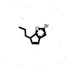 CCCC1C=Cc2cc(Br)oc21